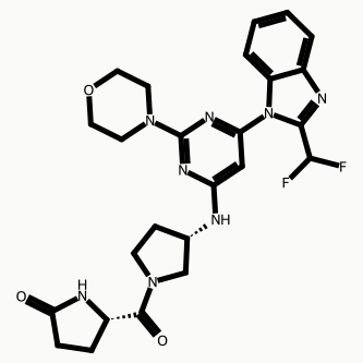 O=C1CC[C@@H](C(=O)N2CC[C@H](Nc3cc(-n4c(C(F)F)nc5ccccc54)nc(N4CCOCC4)n3)C2)N1